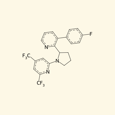 Fc1ccc(-c2cccnc2C2CCCN2c2cc(C(F)(F)F)cc(C(F)(F)F)n2)cc1